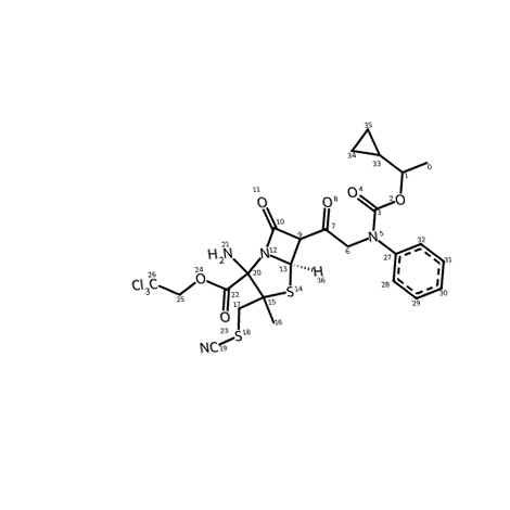 CC(OC(=O)N(CC(=O)C1C(=O)N2[C@@H]1SC(C)(CSC#N)C2(N)C(=O)OCC(Cl)(Cl)Cl)c1ccccc1)C1CC1